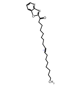 CCCCCCCC/C=C/CCCCCCCC(=O)c1nc2ncccc2o1